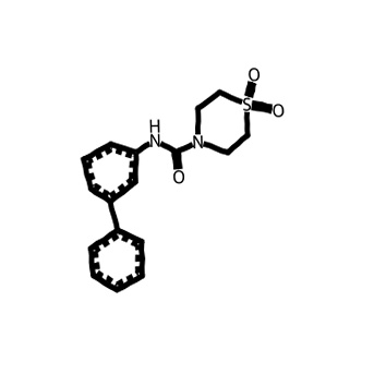 O=C(Nc1cccc(-c2ccccc2)c1)N1CCS(=O)(=O)CC1